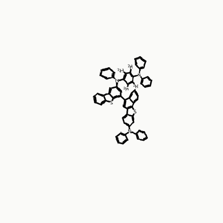 [2H]c1c([2H])c(N(c2ccccc2)c2cc(-c3cc4c5ccc(N(c6ccccc6)c6ccccc6)cc5sc4c4ccccc34)c3sc4ccccc4c3c2)c([2H])c([2H])c1N(c1ccccc1)c1ccccc1